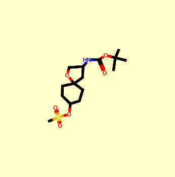 CC(C)(C)OC(=O)NC1COC2(CCC(OS(C)(=O)=O)CC2)C1